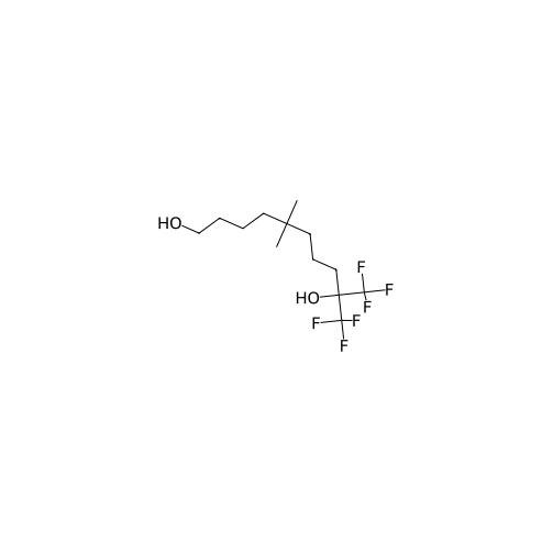 CC(C)(CCCCO)CCCC(O)(C(F)(F)F)C(F)(F)F